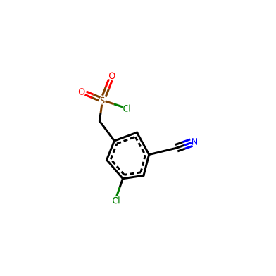 N#Cc1cc(Cl)cc(CS(=O)(=O)Cl)c1